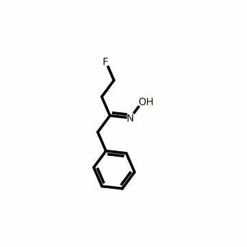 ON=C(CCF)Cc1ccccc1